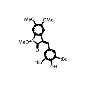 COc1cc2c(cc1OC)N(OC)C(=O)C2=Cc1cc(C(C)(C)C)c(O)c(C(C)(C)C)c1